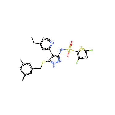 CCc1ccnc(-c2c(NS(=O)(=O)c3sc(F)cc3F)n[nH]c2SCc2cc(C)cc(C)c2)c1